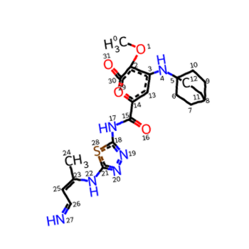 COc1c(NC23CCC(CC2)CC3)cc(C(=O)Nc2nnc(N/C(C)=C\C=N)s2)oc1=O